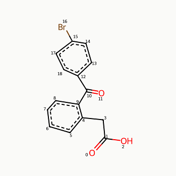 O=C(O)Cc1ccccc1C(=O)c1ccc(Br)cc1